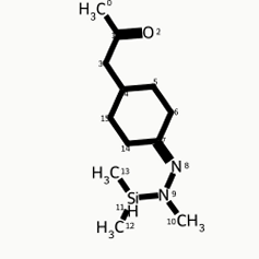 CC(=O)CC1CCC(=NN(C)[SiH](C)C)CC1